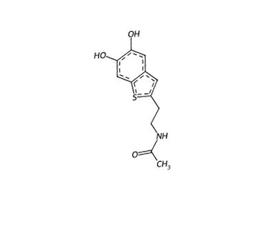 CC(=O)NCCc1cc2cc(O)c(O)cc2s1